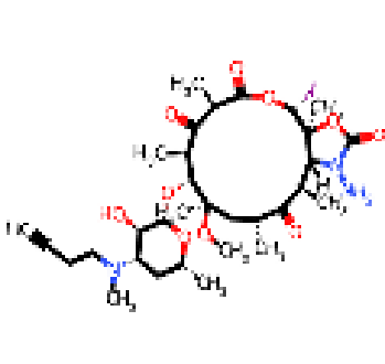 C#CCCN(C)[C@H]1C[C@@H](C)O[C@@H](O[C@@H]2[C@@H](C)C(=O)[C@@H](C)C(=O)O[C@H](I)[C@@]3(C)OC(=O)N(N)[C@@H]3[C@@H](C)C(=O)[C@H](C)C[C@@]2(C)OC)[C@@H]1O